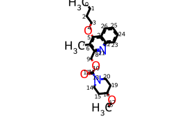 CCCCOc1c(C)c(COC(=O)N2CCC(OC)CC2)nc2ccccc12